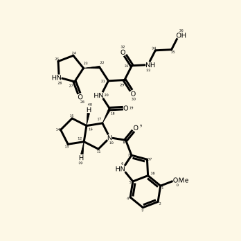 COc1cccc2[nH]c(C(=O)N3C[C@@H]4CCC[C@@H]4[C@H]3C(=O)NC(C[C@@H]3CCNC3=O)C(=O)C(=O)NCCO)cc12